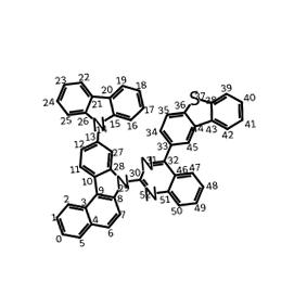 c1ccc2c(c1)ccc1c2c2ccc(-n3c4ccccc4c4ccccc43)cc2n1-c1nc(-c2ccc3sc4ccccc4c3c2)c2ccccc2n1